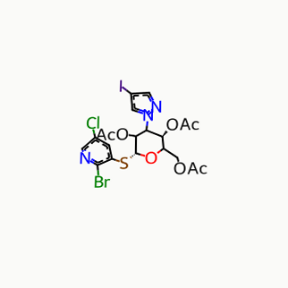 CC(=O)OCC1O[C@H](Sc2cc(Cl)cnc2Br)C(OC(C)=O)C(n2cc(I)cn2)[C@H]1OC(C)=O